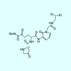 CCC(CC)CNC(=O)Cn1cccc(NC(=O)C(CCC(=O)C(=O)NC)NC(=O)[C@@H]2CC(=O)CN2)c1=O